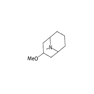 COC1CC2CCCC(C1)N2C